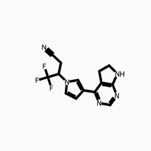 N#CCC(n1ccc(-c2ncnc3c2CCN3)c1)C(F)(F)F